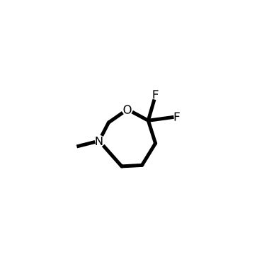 CN1CCCC(F)(F)OC1